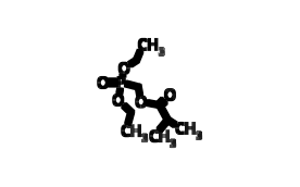 CCOP(=O)(COC(=O)C(C)C)OCC